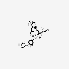 COCC[S+]([O-])c1ncncc1Cn1c(=O)c(-c2ncsc2C)cc2cnc(Nc3ccc(NC4CCNCC4)cc3)nc21